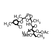 C=N/C(C(=O)N[C@@H](C)C(=O)O[C@H](C(C)C)[C@H](C)Oc1ccc(C)cc1Cl)=C(OCOC(C)=O)\C(=C/C)OC